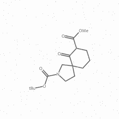 COC(=O)C1CCCC2(CCN(C(=O)OC(C)(C)C)C2)C1=O